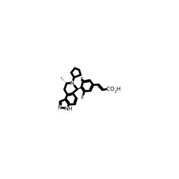 C[C@H]1Cc2c(ccc3[nH]ncc23)[C@H](c2c(F)cc(/C=C/C(=O)O)cc2F)N1C1CCCC1